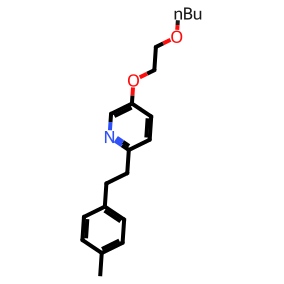 CCCCOCCOc1ccc(CCc2ccc(C)cc2)nc1